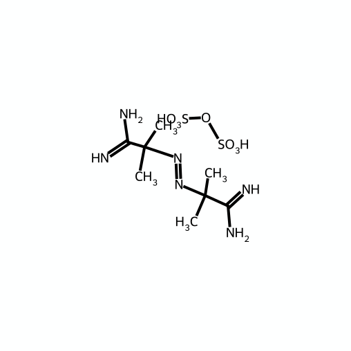 CC(C)(N=NC(C)(C)C(=N)N)C(=N)N.O=S(=O)(O)OS(=O)(=O)O